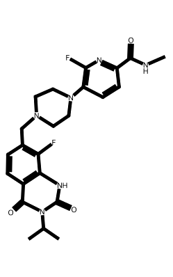 CNC(=O)c1ccc(N2CCN(Cc3ccc4c(=O)n(C(C)C)c(=O)[nH]c4c3F)CC2)c(F)n1